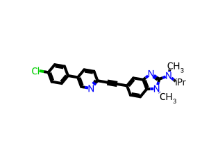 CC(C)N(C)c1nc2cc(C#Cc3ccc(-c4ccc(Cl)cc4)cn3)ccc2n1C